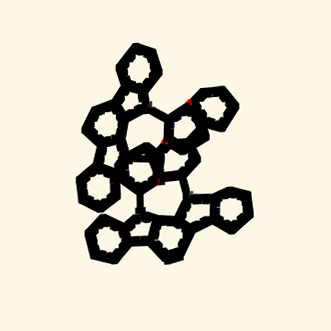 c1c2c3ccccc3n(-c3ccccc3)c2c2c(c#1)c1ccccc1n2-c1cc(-c2ccccc2)cc(-n2c3ccccc3c3ccc4c5ccccc5n(-c5ccccc5)c4c32)n1